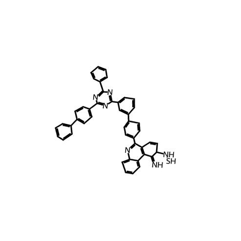 N=C1c2c(c(-c3ccc(-c4cccc(-c5nc(-c6ccccc6)nc(-c6ccc(-c7ccccc7)cc6)n5)c4)cc3)nc3ccccc23)C=CC1NS